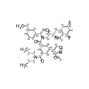 CCCN(CCC)C(=O)c1cc(C(=O)N(Cc2cccc(CC)c2)C[C@@H](O)[C@@H](N)Cc2cc(F)cc(F)c2)cc(-c2conc2C)c1